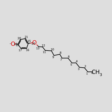 CCCCCCCCCCCCCCOc1ccc([O])cc1